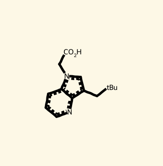 CC(C)(C)Cc1cn(CC(=O)O)c2cccnc12